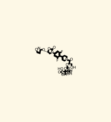 CC(OC(=O)O[C@@H](CO)C(=O)N1CC=C(c2c(F)cc(N3C[C@H](COc4ccon4)OC3=O)cc2F)CC1)(P(=O)(O)O)P(=O)(O)O